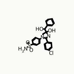 NS(=O)(=O)c1ccc(N2CC(O)(C(O)c3ccccc3)N=C2c2ccc(Cl)cc2)cc1